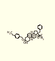 CCc1ccc(COC2(O)CC[C@@]3(C)C(=CC[C@@H]4[C@@H]3CC[C@@]3(C)[C@H]4CC[C@]3(Cc3ccccc3)C(C)=O)C2)cc1